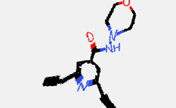 C#Cc1cc(C(=O)NN2CCOCC2)cc(C#C)n1